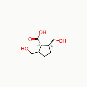 O=C(O)[C@H]1C(CO)CC[C@@H]1CO